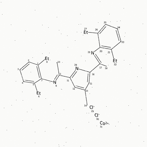 CCc1cccc(CC)c1N=C(C)c1cc(C)cc(C(C)=Nc2c(CC)cccc2CC)n1.[Cl-].[Cl-].[Co+2]